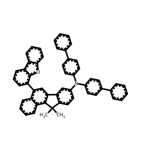 CC1(C)c2ccc(N(c3ccc(-c4ccccc4)cc3)c3ccc(-c4ccccc4)cc3)cc2-c2cc(-c3cccc4c3oc3ccccc34)c3ccccc3c21